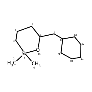 C[Si]1(C)CCCC(CC2CCCCC2)O1